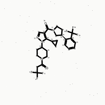 O=C(CC(F)(F)F)N1CCC(n2ncc(C(=O)N3CC[C@@H](c4ccccc4C(F)(F)F)C3)c2C2CC2)CC1